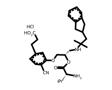 CC(C)[C@@H](N)C(=O)O[C@@H](CNC(C)(C)CC1Cc2ccccc2C1)COc1cc(CCC(=O)O)ccc1C#N.Cl